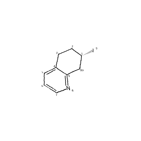 I[C@H]1CCc2cccnc2C1